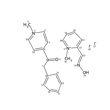 C[n+]1ccc(C(=O)Cc2ccccc2)cc1.C[n+]1ccccc1C=NO.[I-].[I-]